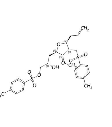 C=CC[C@@H]1O[C@H](C[C@H](O)COS(=O)(=O)c2ccc(C)cc2)[C@H](OC)[C@H]1CS(=O)(=O)c1ccc(C)cc1